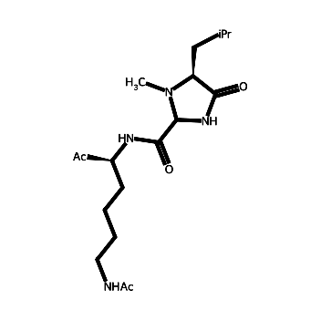 CC(=O)NCCCC[C@H](NC(=O)C1NC(=O)[C@H](CC(C)C)N1C)C(C)=O